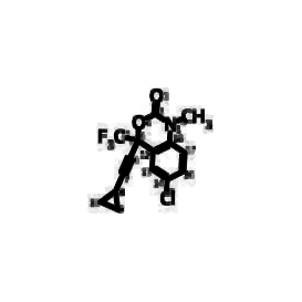 CN1C(=O)O[C@](C#CC2CC2)(C(F)(F)F)c2cc(Cl)ccc21